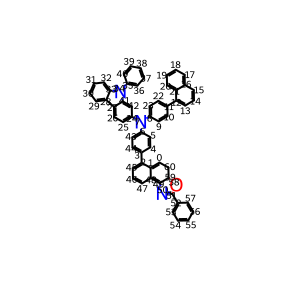 C1=c2c(-c3ccc(N(c4ccc(-c5cccc6ccccc56)cc4)c4ccc5c6ccccc6n(-c6ccccc6)c5c4)cc3)cccc2=C2N=C(c3ccccc3)OC2C1